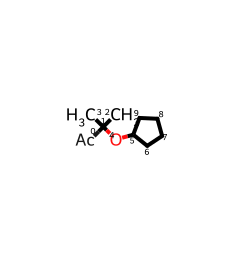 CC(=O)C(C)(C)OC1CCCC1